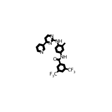 Cc1cc(NC(=O)c2cc(C(F)(F)F)cc(C(F)(F)F)c2)ccc1Nc1nccc(-c2cccnc2)n1